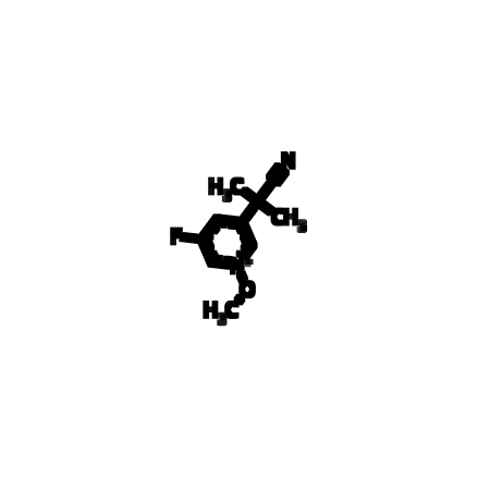 CO[n+]1cc(F)cc(C(C)(C)C#N)c1